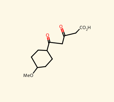 COC1CCC(C(=O)CC(=O)CC(=O)O)CC1